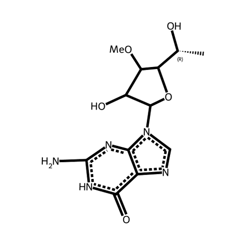 COC1C(O)C(n2cnc3c(=O)[nH]c(N)nc32)OC1[C@@H](C)O